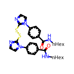 CCCCCCNC(=O)c1ccc(-n2ccnc2SSc2nccn2-c2ccc(C(=O)NCCCCCC)cc2)cc1